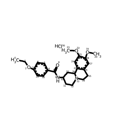 CCOc1ccc(C(=O)NC2CCN3CCc4cc(OC)c(OC)cc4C3C2)cc1.Cl